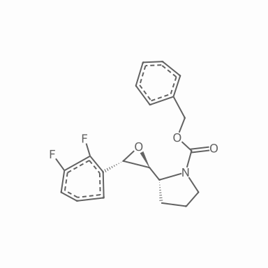 O=C(OCc1ccccc1)N1CCC[C@@H]1[C@@H]1O[C@H]1c1cccc(F)c1F